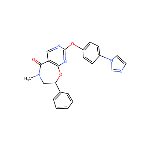 CN1CC(c2ccccc2)Oc2nc(Oc3ccc(-n4ccnc4)cc3)ncc2C1=O